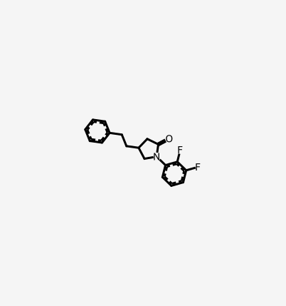 O=C1CC(CCc2ccccc2)CN1c1cccc(F)c1F